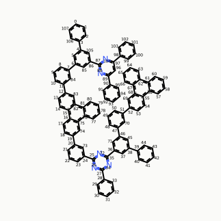 c1ccc(-c2cc(-c3cccc(-c4ccc5c6ccc(-c7cccc(-c8nc(-c9ccccc9)nc(-c9cc(-c%10ccccc%10)cc(-c%10cccc(-c%11ccc%12c%13ccccc%13c%13ccccc%13c%12c%11)c%10)c9)n8)c7)cc6c6ccccc6c5c4)c3)cc(-c3nc(-c4ccccc4)cc(-c4ccccc4)n3)c2)cc1